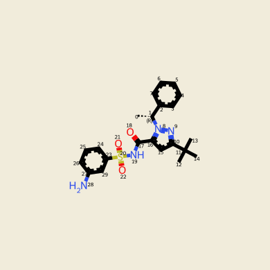 C[C@H](c1ccccc1)n1nc(C(C)(C)C)cc1C(=O)NS(=O)(=O)c1cccc(N)c1